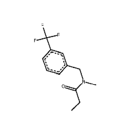 CCC(=O)N(C)Cc1cccc(C(F)(F)F)c1